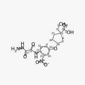 CCC1(C(=O)O)CCC(Oc2ccc(NC(=O)C(=O)NN)c([N+](=O)[O-])c2)CC1